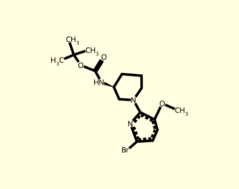 COc1ccc(Br)nc1N1CCC[C@H](NC(=O)OC(C)(C)C)C1